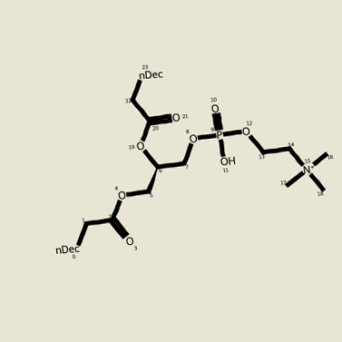 CCCCCCCCCCCC(=O)OC[C@H](COP(=O)(O)OCC[N+](C)(C)C)OC(=O)CCCCCCCCCCC